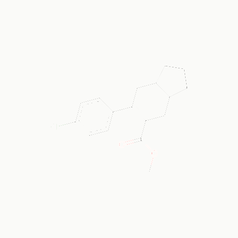 COC(=O)C1=C(c2ccc(Cl)cc2)CC2CCCC2C1